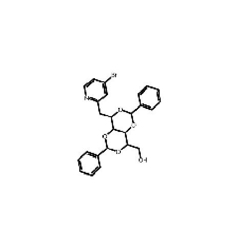 OCC1OC(c2ccccc2)OC2C(Cc3cc(Br)ccn3)OC(c3ccccc3)OC12